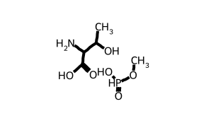 CC(O)C(N)C(=O)O.CO[PH](=O)O